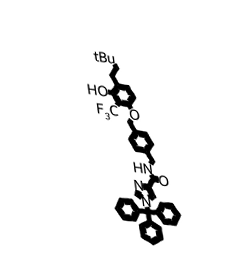 CC(C)(C)CCc1ccc(OCc2ccc(CNC(=O)c3cn(C(c4ccccc4)(c4ccccc4)c4ccccc4)cn3)cc2)c(C(F)(F)F)c1O